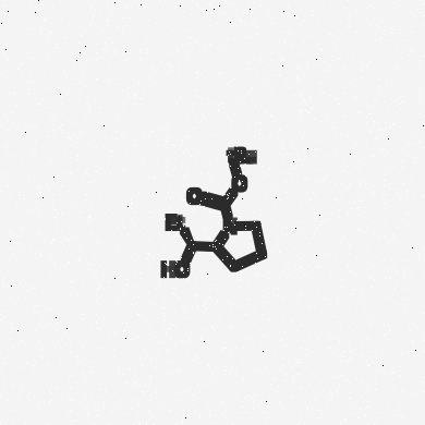 CC[C@H](O)C1CCCN1C(=O)OC(C)(C)C